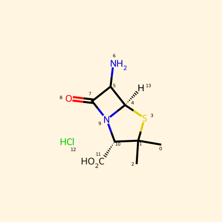 CC1(C)S[C@@H]2C(N)C(=O)N2[C@H]1C(=O)O.Cl